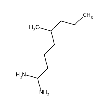 CCCC(C)CCCC(N)N